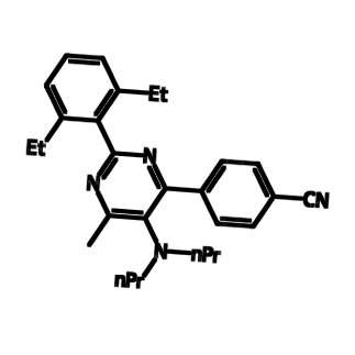 CCCN(CCC)c1c(C)nc(-c2c(CC)cccc2CC)nc1-c1ccc(C#N)cc1